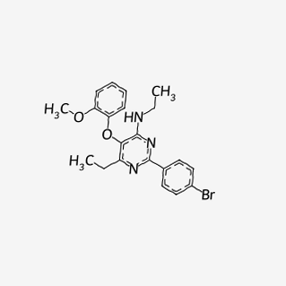 CCNc1nc(-c2ccc(Br)cc2)nc(CC)c1Oc1ccccc1OC